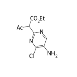 CCOC(=O)C(C(C)=O)c1ncc(N)c(Cl)n1